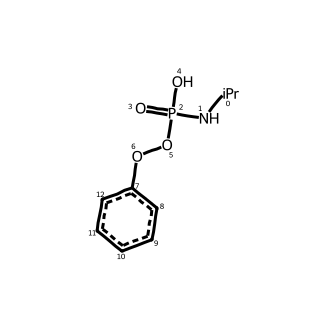 CC(C)NP(=O)(O)OOc1ccccc1